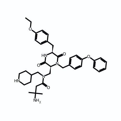 CCOc1ccc(C[C@@H]2NC(=O)[C@H](CN(CC3CCNCC3)C(=O)CC(C)(C)N)N(Cc3ccc(Oc4ccccc4)cc3)C2=O)cc1